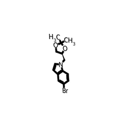 CC1(C)OC[C@H](Cn2ccc3cc(Br)ccc32)O1